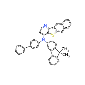 CC1(C)c2ccccc2-c2cc(N(c3ccc(-c4ccccc4)cc3)c3ccnc4c3sc3cc5ccccc5cc34)ccc21